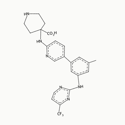 Cc1cc(Nc2nccc(C(F)(F)F)n2)cc(-c2ccc(NC3(C(=O)O)CCNCC3)nc2)c1